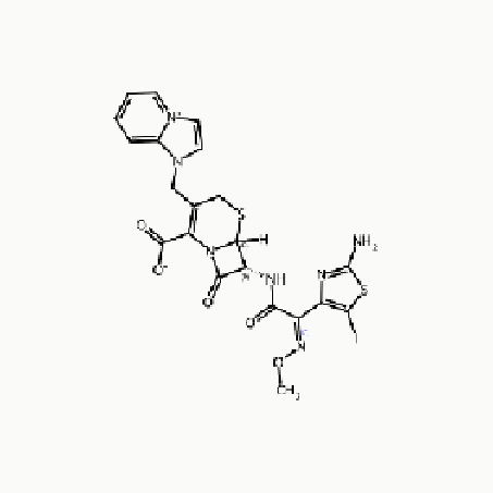 CO/N=C(\C(=O)N[C@@H]1C(=O)N2C(C(=O)[O-])=C(Cn3cc[n+]4ccccc34)CS[C@H]12)c1nc(N)sc1I